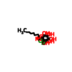 CCCCCCCC(=O)O[C@]1(O)[C@H](O)[C@H](O)[C@@H](O)[C@@](O)(Br)[C@]1(O)Cl